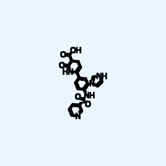 O=C(O)C1CC=C(c2ccc(NS(=O)(=O)c3cccnc3)cc2)NC1=O.c1c[nH]cn1